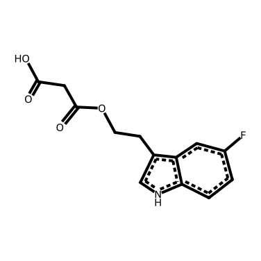 O=C(O)CC(=O)OCCc1c[nH]c2ccc(F)cc12